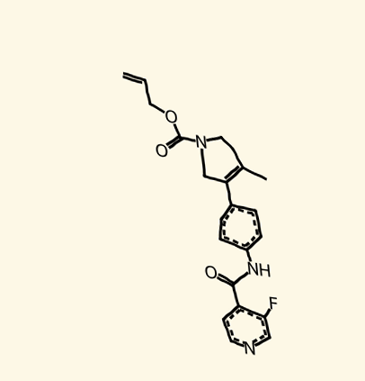 C=CCOC(=O)N1CCC(C)=C(c2ccc(NC(=O)c3ccncc3F)cc2)C1